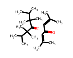 CC(C)=CC(=O)C=C(C)C.CC(C)C(C)(C)C(=O)C(C)(C)C(C)C